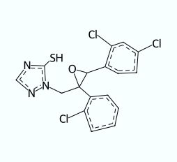 Sc1ncnn1CC1(c2ccccc2Cl)OC1c1ccc(Cl)cc1Cl